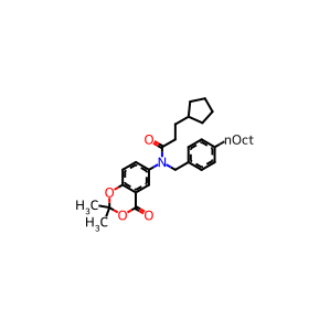 CCCCCCCCc1ccc(CN(C(=O)CCC2CCCC2)c2ccc3c(c2)C(=O)OC(C)(C)O3)cc1